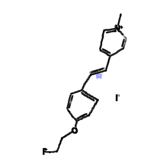 C[n+]1ccc(/C=C/c2ccc(OCCF)cc2)cc1.[I-]